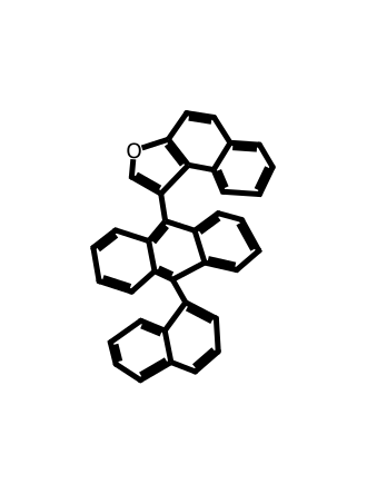 c1ccc2c(-c3c4ccccc4c(-c4coc5ccc6ccccc6c45)c4ccccc34)cccc2c1